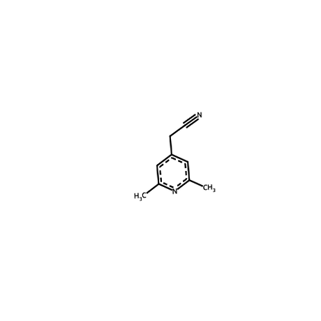 Cc1cc(CC#N)cc(C)n1